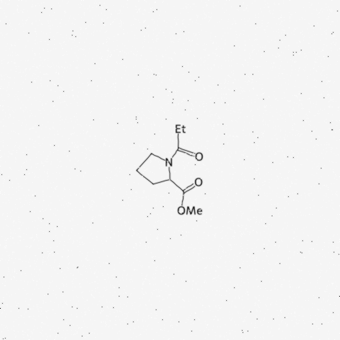 CCC(=O)N1CCCC1C(=O)OC